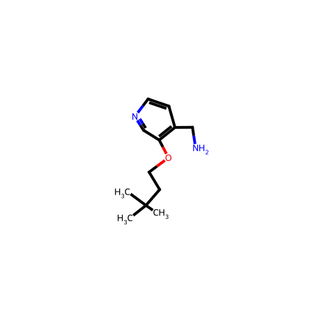 CC(C)(C)CCOc1cnccc1CN